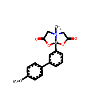 COc1ccc(-c2cccc([B-]34OC(=O)C[N+]3(C)CC(=O)O4)c2)cc1